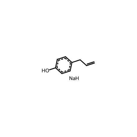 C=CCc1ccc(O)cc1.[NaH]